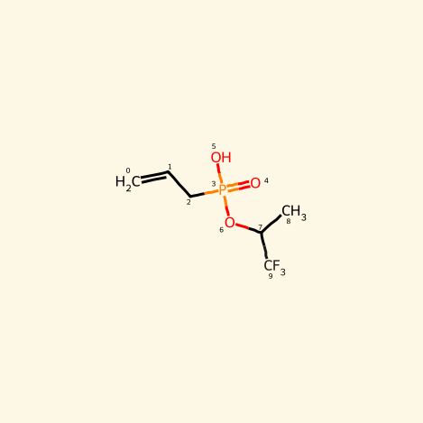 C=CCP(=O)(O)OC(C)C(F)(F)F